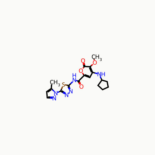 COc1c(NC2CCCC2)cc(C(=O)Nc2nnc(-n3nccc3C)s2)oc1=O